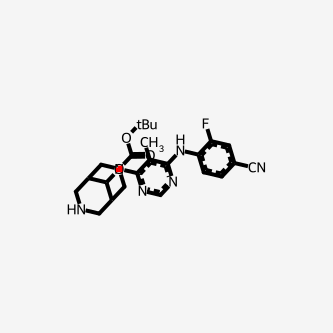 Cc1c(Nc2ccc(C#N)cc2F)ncnc1OC1C2CNCC1CN(C(=O)OC(C)(C)C)C2